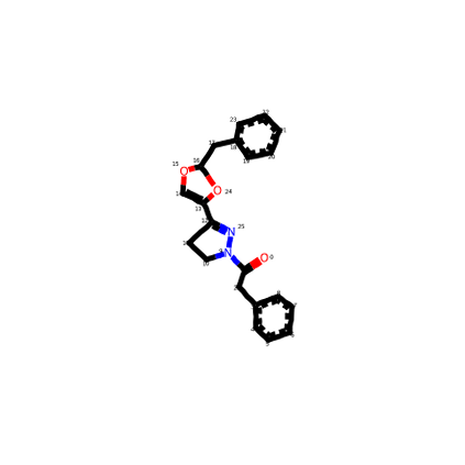 O=C(Cc1ccccc1)N1CCC(C2=COC(Cc3ccccc3)O2)=N1